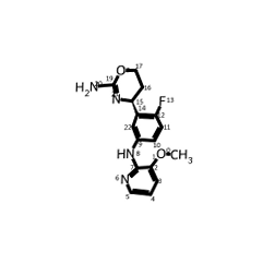 COc1cccnc1Nc1ccc(F)c([C@@H]2CCOC(N)=N2)c1